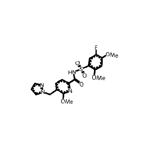 COc1cc(OC)c(S(=O)(=O)NC(=O)c2ccc(Cn3cccn3)c(OC)n2)cc1F